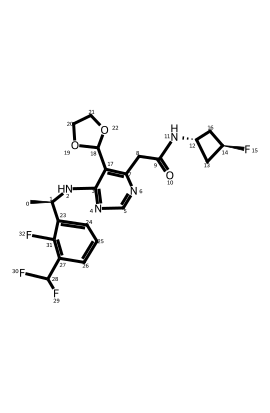 C[C@@H](Nc1ncnc(CC(=O)N[C@H]2C[C@H](F)C2)c1C1OCCO1)c1cccc(C(F)F)c1F